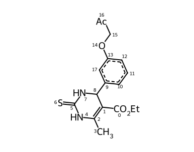 CCOC(=O)C1=C(C)NC(=S)NC1c1cccc(OCC(C)=O)c1